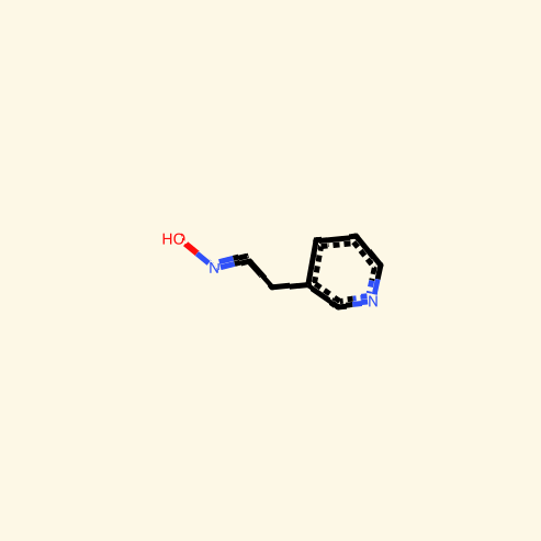 ON=CCc1cccnc1